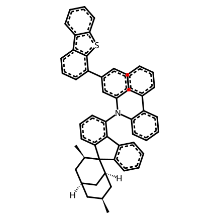 C[C@H]1C[C@@H]2C[C@H](C1)C1(c3ccccc3-c3c(N(c4cccc(-c5cccc6c5sc5ccccc56)c4)c4ccccc4-c4ccccc4)cccc31)[C@H](C)C2